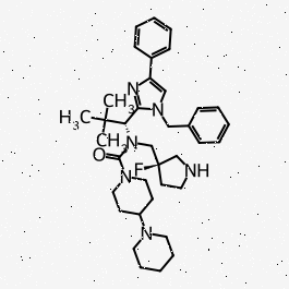 CC(C)(C)[C@H](c1nc(-c2ccccc2)cn1Cc1ccccc1)N(C[C@@]1(F)CCNC1)C(=O)N1CCC(N2CCCCC2)CC1